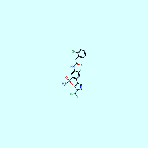 NS(=O)(=O)c1cc(NC(=O)Cc2ccccc2Cl)c(F)cc1-c1cnn(C(F)F)c1